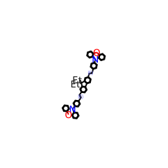 CCC1(CC)c2cc(/C=C/c3ccc(N4c5ccccc5Oc5ccccc54)cc3)ccc2-c2ccc(/C=C/c3ccc(N4c5ccccc5Oc5ccccc54)cc3)cc21